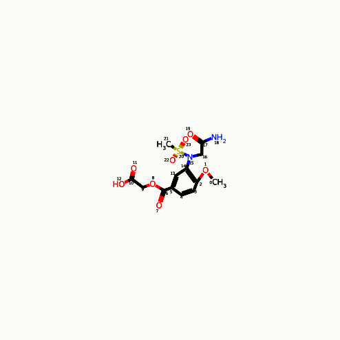 COc1ccc(C(=O)OCC(=O)O)cc1N(CC(N)=O)S(C)(=O)=O